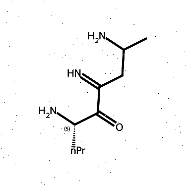 CCC[C@H](N)C(=O)C(=N)CC(C)N